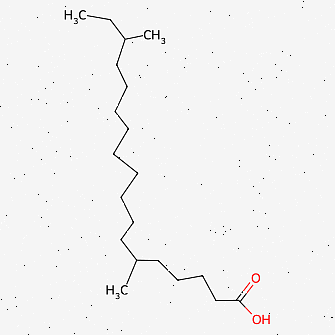 CCC(C)CCCCCCCCCC(C)CCCCC(=O)O